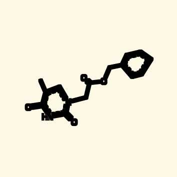 Cc1cn(CC(=O)OCc2ccccc2)c(=O)[nH]c1=O